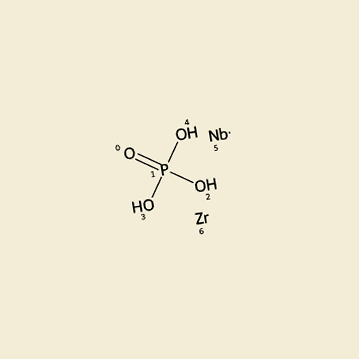 O=P(O)(O)O.[Nb].[Zr]